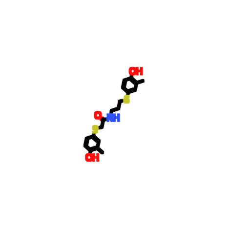 Cc1cc(SCCCNC(=O)CSc2ccc(O)c(C)c2)ccc1O